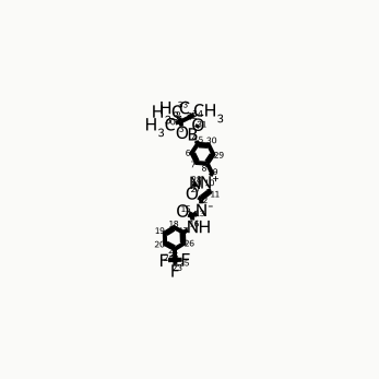 CC1(C)OB(c2ccc(C[n+]3cc([N-]C(=O)Nc4cccc(C(F)(F)F)c4)on3)cc2)OC1(C)C